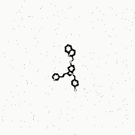 Clc1ccc(Cn2cc(C=Cc3cccnc3)c3cc(OCc4ccc5ccccc5n4)ccc32)cc1